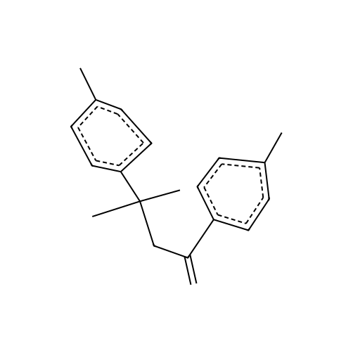 C=C(CC(C)(C)c1ccc(C)cc1)c1ccc(C)cc1